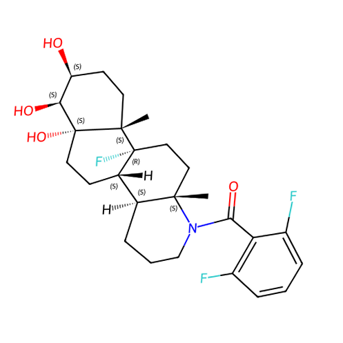 C[C@]12CC[C@H](O)[C@H](O)[C@]1(O)CC[C@H]1[C@@H]3CCCN(C(=O)c4c(F)cccc4F)[C@@]3(C)CC[C@@]12F